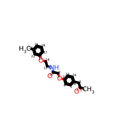 CC(=O)Cc1ccc(OCC(=O)NCCOc2cccc(C)c2)cc1